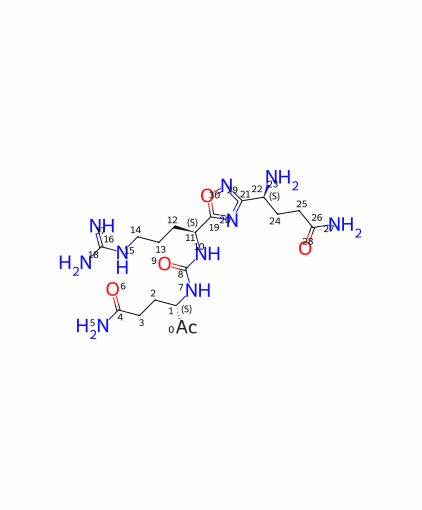 CC(=O)[C@H](CCC(N)=O)NC(=O)N[C@@H](CCCNC(=N)N)c1nc([C@@H](N)CCC(N)=O)no1